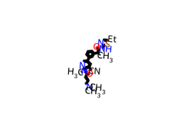 CCc1cnc(NC(=O)[C@@H](C)c2cccc(-c3cnc(N(C)C(=O)/C=C/CN(C)C)c(C#N)c3)c2)s1